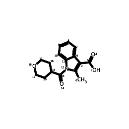 Cc1c(C(=O)O)c2ccccc2n1C(=O)C1CCOCC1